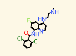 CNCCNc1ccnc2c(NC(=O)c3c(Cl)cccc3Cl)cc(F)cc12